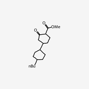 CCCCC1CCC(C2CCC(C(=O)OC)C(=O)C2)CC1